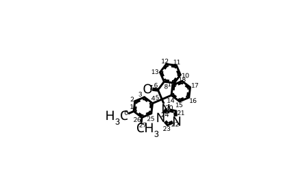 Cc1ccc(C(C(=O)c2ccccc2)(c2ccccc2)n2cncn2)cc1C